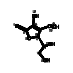 Cl.O=C1O[C@H](C(O)CO)C(O)=C1O